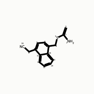 C=C(N)SCc1ccc(CC#N)c2ccccc12